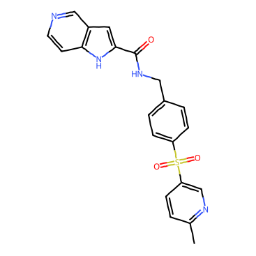 Cc1ccc(S(=O)(=O)c2ccc(CNC(=O)c3cc4cnccc4[nH]3)cc2)cn1